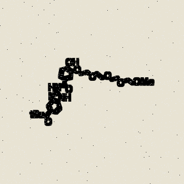 COCCOCCOCCOCCOc1cc(C(=O)Nc2nc3cc(C(=O)C(C)(C)C)ccc3[nH]2)ccc1O